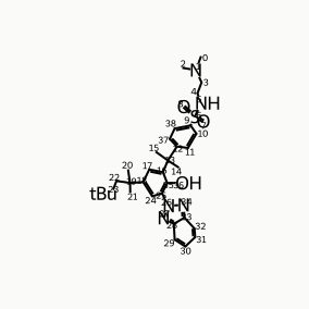 CN(C)CCNS(=O)(=O)c1ccc(C(C)(C)c2cc(C(C)(C)CC(C)(C)C)cc(-n3nc4ccccc4n3)c2O)cc1